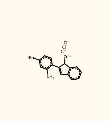 Cc1cc(C(C)(C)C)ccc1C1=Cc2ccccc2[CH]1[Zr+3].[Cl-].[Cl-].[Cl-]